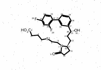 O=C(O)CCCSCCN1C(=O)CC[C@@H]1CC[C@@H](O)c1cccc(-c2ccc(F)cc2F)c1